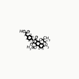 CCC(C)Oc1c2c(c(OC)c3ccccc13)C(=O)N(c1ccc(CC(=O)O)cc1)C2=O